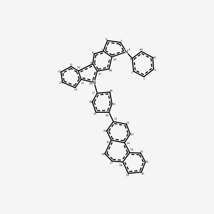 c1ccc(-n2ccc3cc4c5ccccc5n(-c5ccc(-c6ccc7c(ccc8ccccc87)c6)cc5)c4cc32)cc1